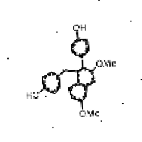 COc1ccc2c(Cc3ccc(O)cc3)c(-c3ccc(O)cc3)c(OC)cc2c1